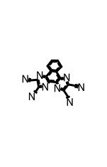 N#Cc1nc2c3ccccc3c3nc(C#N)c(C#N)nc3c2nc1C#N